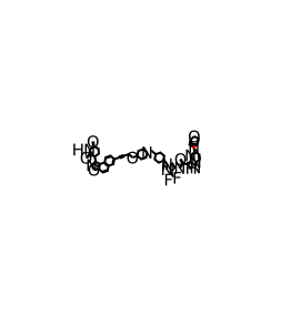 O=C1CCC(c2noc3ccc4cc(C#CCOC5CCN(CC6CCC(n7cc(NC(=O)c8cnn9ccc(N%10CC%11CC%10CO%11)nc89)c(C(F)F)n7)CC6)CC5)ccc4c23)C(=O)N1